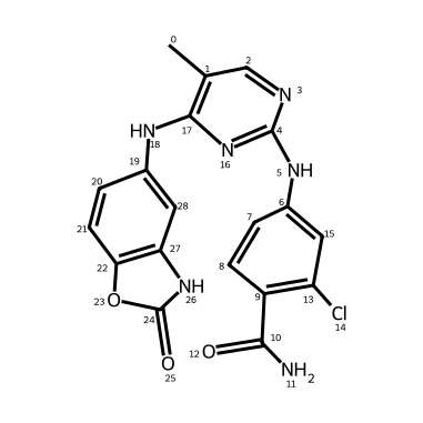 Cc1cnc(Nc2ccc(C(N)=O)c(Cl)c2)nc1Nc1ccc2oc(=O)[nH]c2c1